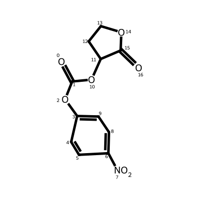 O=C(Oc1ccc([N+](=O)[O-])cc1)OC1CCOC1=O